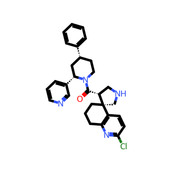 O=C([C@@H]1CNC[C@]12CCCc1nc(Cl)ccc12)N1CC[C@@H](c2ccccc2)C[C@H]1c1cccnc1